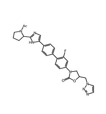 CC(=O)N1CCCC1c1ncc(-c2ccc(-c3ccc(N4CC(Cn5ccnn5)OC4=O)cc3F)cc2)[nH]1